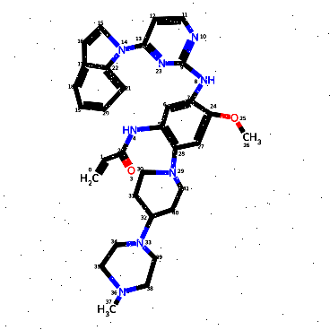 C=CC(=O)Nc1cc(Nc2nccc(-n3ccc4ccccc43)n2)c(OC)cc1N1CCC(N2CCN(C)CC2)CC1